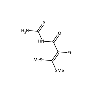 CCC(C(=O)NC(N)=S)=C(SC)SC